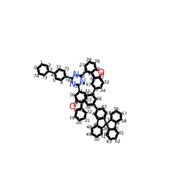 c1ccc(-c2ccc(-c3nc(-c4ccc5c(c4)oc4ccccc45)nc(-c4cccc5oc6ccc(-c7cccc(-c8ccc9c(c8)-c8ccccc8C98c9ccccc9-c9ccccc98)c7)cc6c45)n3)cc2)cc1